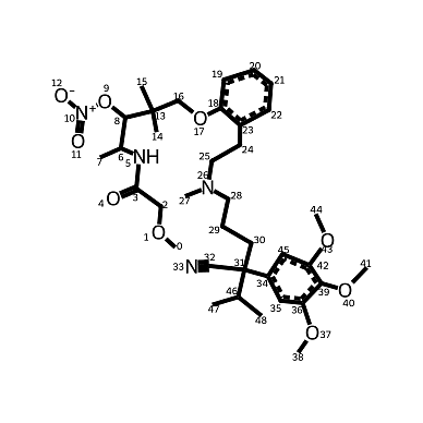 COCC(=O)NC(C)C(O[N+](=O)[O-])C(C)(C)COc1ccccc1CCN(C)CCCC(C#N)(c1cc(OC)c(OC)c(OC)c1)C(C)C